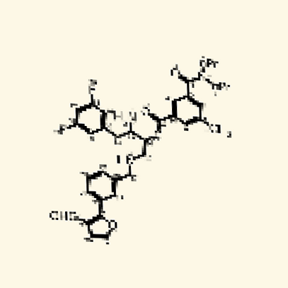 CCCN(CCC)C(=O)c1cc(C)cc(C(=O)OC(CNCc2cccc(-c3occc3C=O)c2)C(N)Cc2cc(F)cc(F)c2)c1